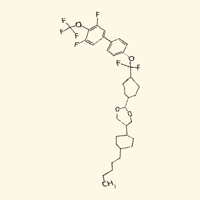 CCCCCC1CCC(C2COC(C3CCC(C(F)(F)Oc4ccc(-c5cc(F)c(OC(F)(F)F)c(F)c5)cc4)CC3)OC2)CC1